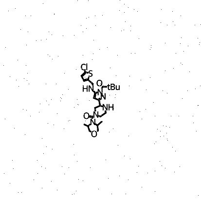 CC1COCC(C)N1C(=O)N1CCNC(c2cc(NCc3ccc(Cl)s3)n(C(=O)C(C)(C)C)n2)C1